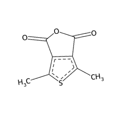 Cc1sc(C)c2c1C(=O)OC2=O